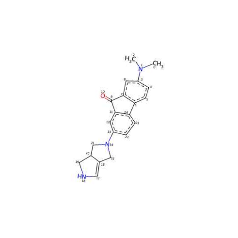 CN(C)c1ccc2c(c1)C(=O)c1cc(N3CC4=CNCC4C3)ccc1-2